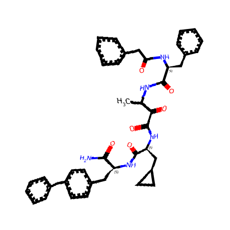 CC(NC(=O)[C@H](Cc1ccccc1)NC(=O)Cc1ccccc1)C(=O)C(=O)N[C@@H](CC1CC1)C(=O)N[C@@H](Cc1ccc(-c2ccccc2)cc1)C(N)=O